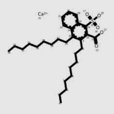 CCCCCCCCCc1c(C(=O)[O-])c(S(=O)(=O)[O-])c2ccccc2c1CCCCCCCCC.[Ca+2]